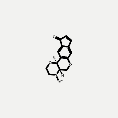 CCCN1CCO[C@H]2c3cc4c(cc3OC[C@@H]21)C=CC4=O